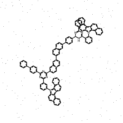 c1ccc(C2=NC(c3ccc(-c4ccc5ccc(-c6ccc7ccc(-c8nc(-c9ccc(-c%10ccccc%10)cc9)nc(-c9cccc(-n%10c%11ccc%12ccccc%12c%11c%11ccc%12ccccc%12c%11%10)c9)n8)cc7c6)cc5c4)cc3)NC(c3ccccc3-n3c4ccc5ccccc5c4c4ccc5ccccc5c43)=N2)cc1